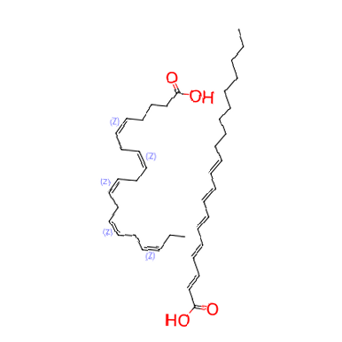 CC/C=C\C/C=C\C/C=C\C/C=C\C/C=C\CCCC(=O)O.CCCCCCCCCC=CC=CC=CC=CC=CC(=O)O